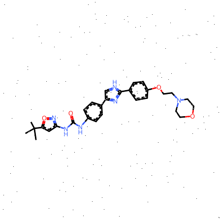 CC(C)(C)c1cc(NC(=O)Nc2ccc(-c3c[nH]c(-c4ccc(OCCN5CCOCC5)cc4)n3)cc2)no1